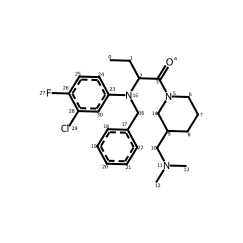 CCC(C(=O)N1CCCC(CN(C)C)C1)N(Cc1ccccc1)c1ccc(F)c(Cl)c1